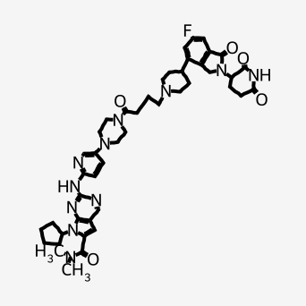 CN(C)C(=O)c1cc2cnc(Nc3ccc(N4CCN(C(=O)CCCN5CCC(c6cc(F)cc7c6CN(C6CCC(=O)NC6=O)C7=O)CC5)CC4)cn3)nc2n1C1CCCC1